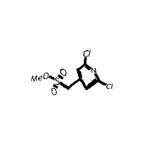 COS(=O)(=O)Cc1cc(Cl)nc(Cl)c1